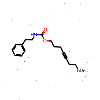 CCCCCCCCCCCCC#CCCCOC(=O)NCCc1ccccc1